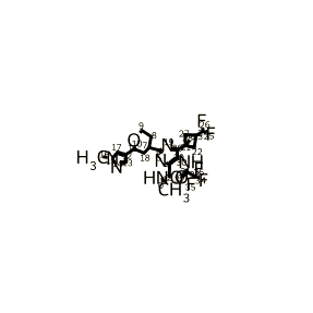 CNC(=O)c1nc(C2CCOC(c3cnn(C)c3)C2)nc(C23CC(C(F)F)(C2)C3)c1NC(=O)C(F)(F)F